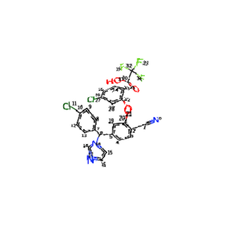 N#Cc1ccc(C(c2ccc(Cl)cc2)n2ccnc2)cc1Oc1cccc(Cl)c1.O=C(O)C(F)(F)F